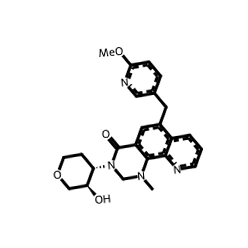 COc1ccc(Cc2cc3c(c4ncccc24)N(C)CN([C@H]2CCOC[C@@H]2O)C3=O)cn1